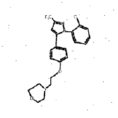 FC(F)(F)c1cc(-c2ccc(OCCN3CCOCC3)cc2)n(-c2ccccc2Cl)n1